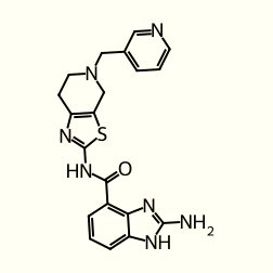 Nc1nc2c(C(=O)Nc3nc4c(s3)CN(Cc3cccnc3)CC4)cccc2[nH]1